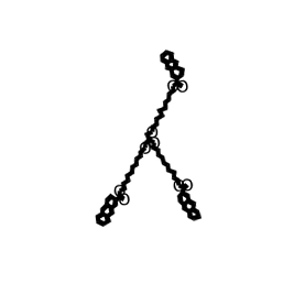 O=C(OCCCCCCCCCCOCC(COCCCCCCCCCCOC(=O)c1ccc2cc3ccccc3cc2c1)OCCCCCCCCCCOC(=O)c1ccc2cc3ccccc3cc2c1)c1ccc2cc3ccccc3cc2c1